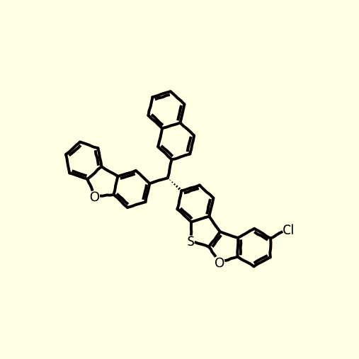 Clc1ccc2oc3sc4cc([C@@H](c5ccc6ccccc6c5)c5ccc6oc7ccccc7c6c5)ccc4c3c2c1